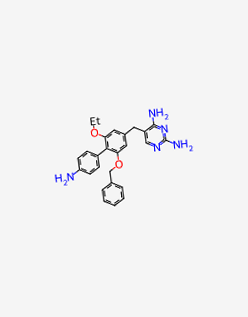 CCOc1cc(Cc2cnc(N)nc2N)cc(OCc2ccccc2)c1-c1ccc(N)cc1